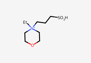 CC[N+]1(CCCS(=O)(=O)O)CCOCC1